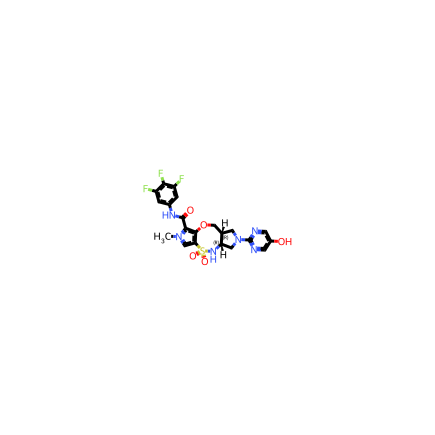 Cn1cc2c(c1C(=O)Nc1cc(F)c(F)c(F)c1)OC[C@@H]1CN(c3ncc(O)cn3)C[C@@H]1NS2(=O)=O